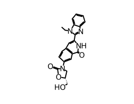 CCn1c(-c2cc3ccc(N4C[C@H](CO)OC4=O)cc3c(=O)[nH]2)nc2ccccc21